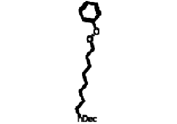 CCCCCCCCCCCCCCCCCCOOc1ccccc1